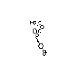 O=C(O)c1cccc(Oc2ccccc2OCC#Cc2ccc(-c3ccoc3)cc2)c1